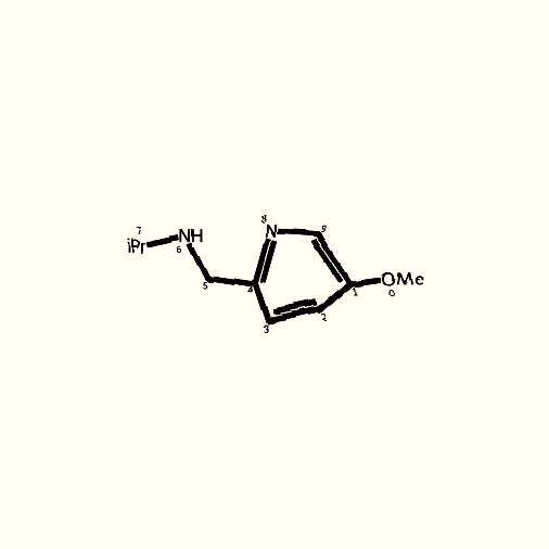 COc1ccc(CNC(C)C)nc1